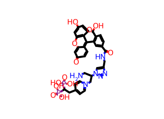 NCC(C[n+]1ccc(CC(P(=O)(O)O)P(=O)(O)O)cc1)n1cc(CNC(=O)c2ccc(C(=O)O)c(-c3c4ccc(=O)cc-4oc4cc(O)ccc34)c2)nn1